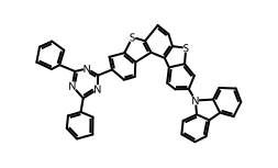 c1ccc(-c2nc(-c3ccccc3)nc(-c3ccc4c(c3)sc3ccc5sc6cc(-n7c8ccccc8c8ccccc87)ccc6c5c34)n2)cc1